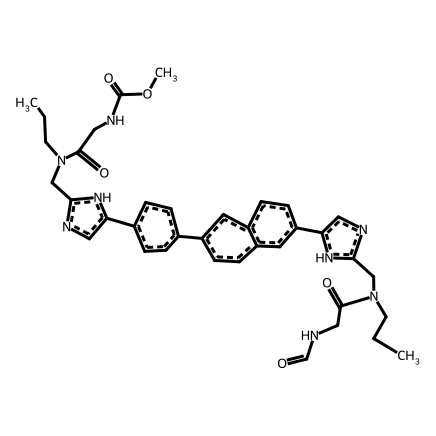 CCCN(Cc1ncc(-c2ccc3cc(-c4ccc(-c5cnc(CN(CCC)C(=O)CNC(=O)OC)[nH]5)cc4)ccc3c2)[nH]1)C(=O)CNC=O